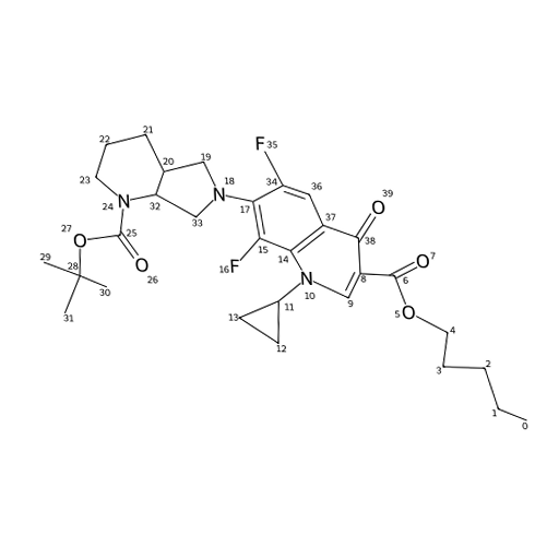 CCCCCOC(=O)c1cn(C2CC2)c2c(F)c(N3CC4CCCN(C(=O)OC(C)(C)C)C4C3)c(F)cc2c1=O